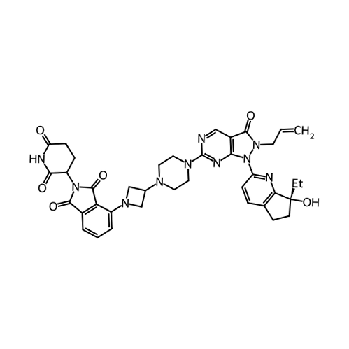 C=CCn1c(=O)c2cnc(N3CCN(C4CN(c5cccc6c5C(=O)N(C5CCC(=O)NC5=O)C6=O)C4)CC3)nc2n1-c1ccc2c(n1)[C@@](O)(CC)CC2